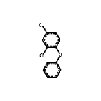 Clc1ccc(Oc2c[c]ccc2)c(Cl)c1